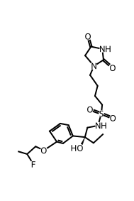 CC[C@@](O)(CNS(=O)(=O)CCCCN1CC(=O)NC1=O)c1cccc(OCC(C)F)c1